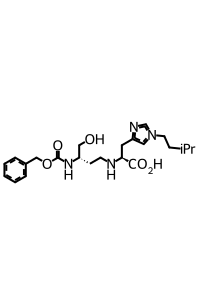 CC(C)CCn1cnc(C[C@H](NCC[C@@H](CO)NC(=O)OCc2ccccc2)C(=O)O)c1